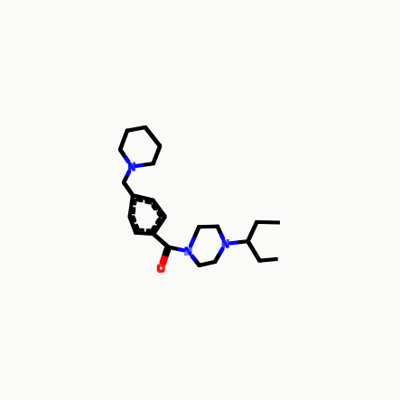 CCC(CC)N1CCN(C(=O)c2ccc(CN3CCCCC3)cc2)CC1